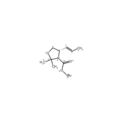 CC=C[C@H]1COC(C)(C)N1C(=O)OC(C)(C)C